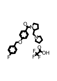 O=C(O)C(F)(F)F.O=C(c1ccc(OCc2ccc(F)cc2)cc1)N1CCCC1CN1CCCC1